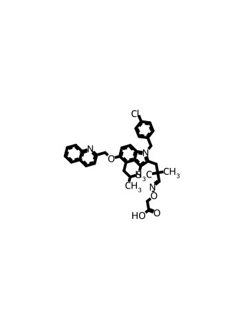 CC1Cc2c(OCc3ccc4ccccc4n3)ccc3c2c(c(CC(C)(C)C=NOCC(=O)O)n3Cc2ccc(Cl)cc2)S1